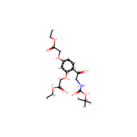 CCOC(=O)COc1ccc(C(=O)CNC(=O)OC(C)(C)C)c(OCC(=O)OCC)c1